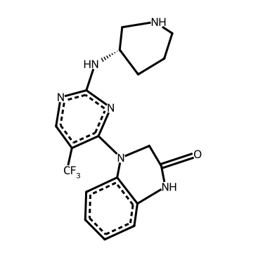 O=C1CN(c2nc(N[C@H]3CCCNC3)ncc2C(F)(F)F)c2ccccc2N1